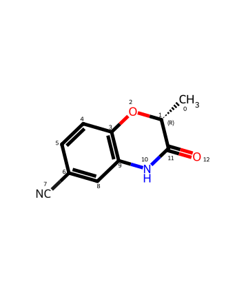 C[C@H]1Oc2ccc(C#N)cc2NC1=O